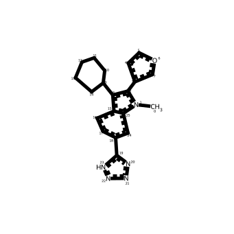 Cn1c(-c2ccoc2)c(C2CCCCC2)c2ccc(-c3nnn[nH]3)cc21